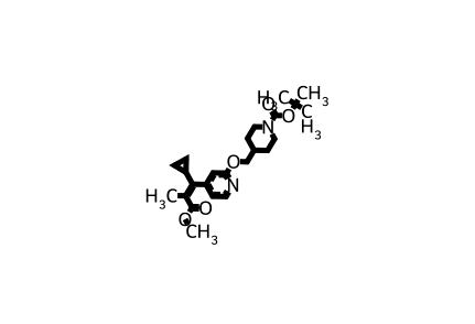 COC(=O)/C(C)=C(\c1ccnc(OCC2CCN(C(=O)OC(C)(C)C)CC2)c1)C1CC1